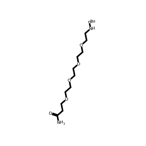 CCCCNCCOCCOCCOCCOCCC(N)=O